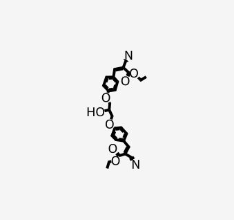 CCOC(=O)C(C#N)=Cc1ccc(OCC(O)COc2ccc(C=C(C#N)C(=O)OCC)cc2)cc1